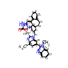 CCCc1nc2c(C)cc(-c3nc4ccccc4n3C)cc2n1Cc1ccc2c(c1)CCc1ccccc1/C2=C/c1noc(=O)[nH]1